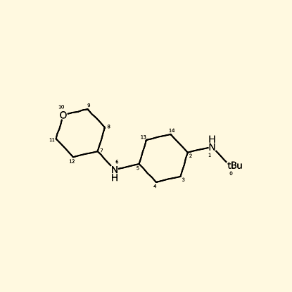 CC(C)(C)NC1CCC(NC2CCOCC2)CC1